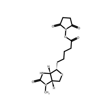 CN1C(=O)N[C@@H]2[C@H](CCCCC(=O)ON3C(=O)CCC3=O)SC[C@@H]21